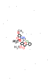 COc1ccc(C(OC(C)=O)C2NCCC2c2c(OC)cc(OC)c3c(=O)cc(-c4ccccc4Cl)oc23)cc1